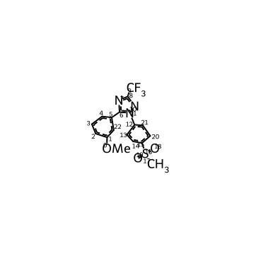 COc1cccc(-c2nc(C(F)(F)F)nn2-c2ccc(S(C)(=O)=O)cc2)c1